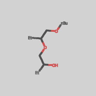 CCCCOCC(CC)OCC(O)CC